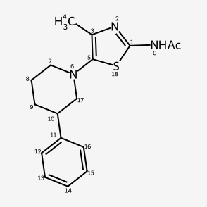 CC(=O)Nc1nc(C)c(N2CCCC(c3ccccc3)C2)s1